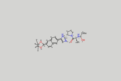 COC(O)N[C@H](C(=O)N1CCC[C@H]1c1ncc(-c2ccc3cc(B4OC(C)(C)C(C)(C)O4)ccc3c2)[nH]1)C(C)C